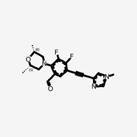 C[C@@H]1CN(c2c(C=O)cc(C#Cc3cn(C)cn3)c(F)c2F)C[C@H](C)O1